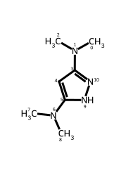 CN(C)c1cc(N(C)C)[nH]n1